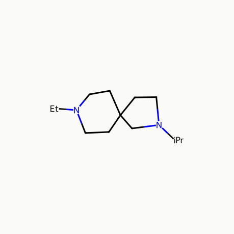 CCN1CCC2(CC1)CCN(C(C)C)C2